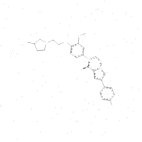 COc1cc(-n2cnn3cc(-c4ccc(Cl)cc4)cc3c2=O)ccc1OCCN1CCC(C)C1